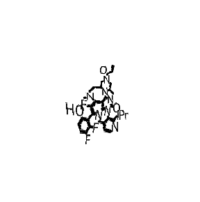 C=CC(=O)N1CC(C)N2c3nc(=O)n(-c4c(C)ccnc4C(C)C)c4nc(-c5c(O)ccc(F)c5F)c(F)c(c34)N(C)CCC2C1